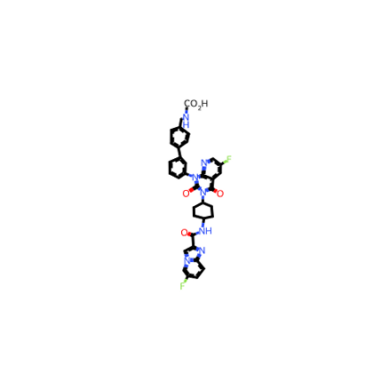 O=C(O)NCc1ccc(-c2cccc(-n3c(=O)n(C4CCC(NC(=O)c5cn6cc(F)ccc6n5)CC4)c(=O)c4cc(F)cnc43)c2)cc1